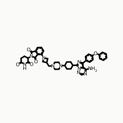 Nc1ncnn2c(C3CCC(N4CCN(CC5CN(c6cccc7c6C(=O)N(C6CCC(=O)NC6=O)C7=O)C5)CC4)CC3)nc(-c3ccc(Oc4ccccc4)cc3)c12